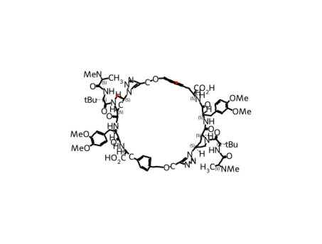 CN[C@@H](C)C(=O)N[C@H](C(=O)N1C[C@@H]2C[C@H]1C(=O)N[C@@H](Cc1ccc(OC)c(OC)c1)C(=O)N[C@H](C(=O)O)Cc1ccc(cc1)OCc1cn(nn1)[C@H]1C[C@@H](C(=O)N[C@@H](Cc3ccc(OC)c(OC)c3)C(=O)N[C@H](C(=O)O)Cc3ccc(cc3)OCc3cn2nn3)N(C(=O)[C@@H](NC(=O)[C@H](C)NC)C(C)(C)C)C1)C(C)(C)C